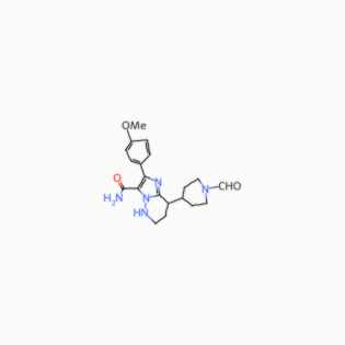 COc1ccc(-c2nc3n(c2C(N)=O)NCCC3C2CCN(C=O)CC2)cc1